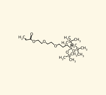 C=CC(=O)OCCOCCOCCC[Si](O[Si](C)(C)C)(O[Si](C)(C)C)O[Si](C)(C)C